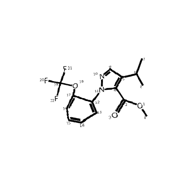 COC(=O)c1c(C(C)C)cnn1-c1ccccc1OC(F)(F)F